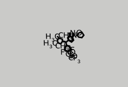 CC1(C)CC(=C(c2cc(F)c(OS(=O)(=O)C(F)(F)F)c(F)c2)c2ccc3c(cnn3C3CCCCO3)c2)CC(C)(C)C1